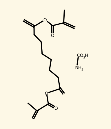 C=C(CCCCCCC(=C)OC(=O)C(=C)C)OC(=O)C(=C)C.NC(=O)O